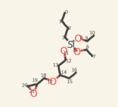 CCCC[Si](OCC)(OCC)OCCC(CC)OCC1CO1